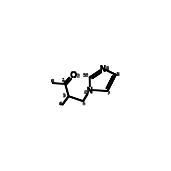 CC(=O)C(C)Cn1ccnc1